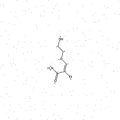 CCC(=COCCO)C(N)=O